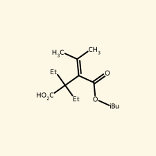 CCC(C)OC(=O)C(=C(C)C)C(CC)(CC)C(=O)O